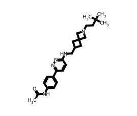 CC(=O)Nc1ccc(-c2ccc(NCC3CC4(C3)CN(CCC(C)(C)C)C4)nn2)cc1